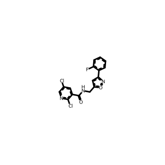 O=C(NCc1cc(-c2ccccc2F)no1)c1cc(Cl)cnc1Cl